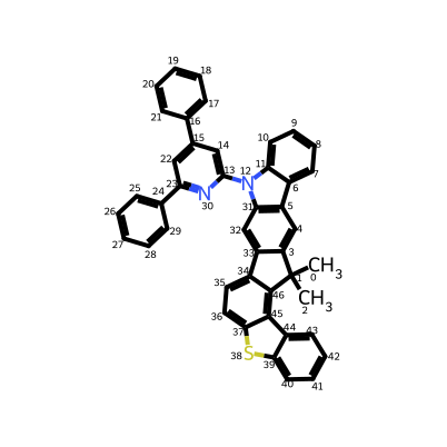 CC1(C)c2cc3c4ccccc4n(-c4cc(-c5ccccc5)cc(-c5ccccc5)n4)c3cc2-c2ccc3sc4ccccc4c3c21